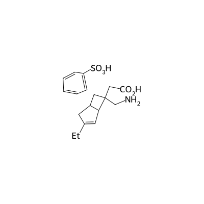 CCC1=CC2C(C1)CC2(CN)CC(=O)O.O=S(=O)(O)c1ccccc1